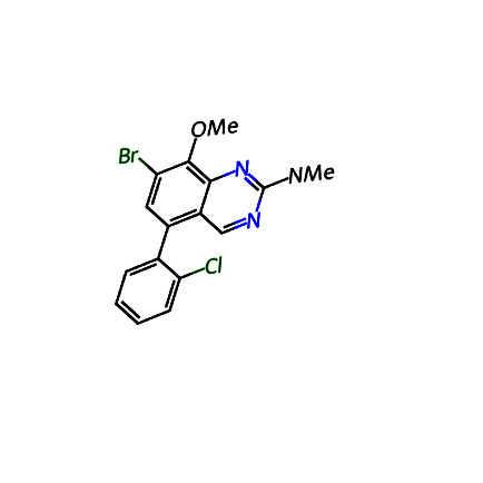 CNc1ncc2c(-c3ccccc3Cl)cc(Br)c(OC)c2n1